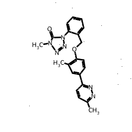 Cc1ccc(-c2ccc(OCc3ccccc3-n3nnn(C)c3=O)c(C)c2)nn1